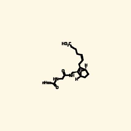 CCCCCCC(=O)NCC(=O)NC[C@H]1[C@@H](C/C=C\CCCC(=O)O)[C@H]2CC[C@H]1O2